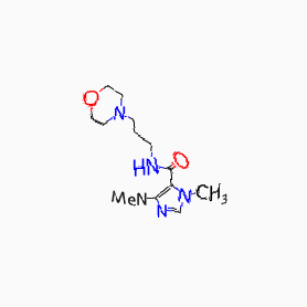 CNc1ncn(C)c1C(=O)NCCCN1CCOCC1